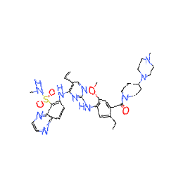 C=Cc1cnc(Nc2cc(CC)c(C(=O)N3CCC(N4CCN(C)CC4)CC3)cc2OC)nc1Nc1ccc2nccnc2c1S(=O)(=O)NC